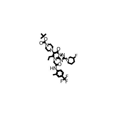 CCc1c(N2CCN(C(=O)OC(C)(C)C)CC2)c(=O)n2nc(N3CCCC(F)C3)nc2n1CC(=O)Nc1ccc(C(F)(F)F)cc1C